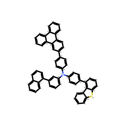 c1cc(-c2cccc3ccccc23)cc(N(c2ccc(-c3ccc4c5ccccc5c5ccccc5c4c3)cc2)c2ccc(-c3cccc4sc5ccccc5c34)cc2)c1